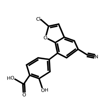 N#Cc1cc(-c2ccc(C(=O)O)c(O)c2)c2oc(Cl)cc2c1